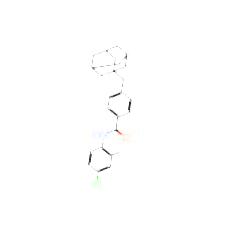 O=C(Nc1ccc(Cl)cc1C(=O)O)c1ccc(CC23CC4CC(CC(C4)C2)C3)cc1